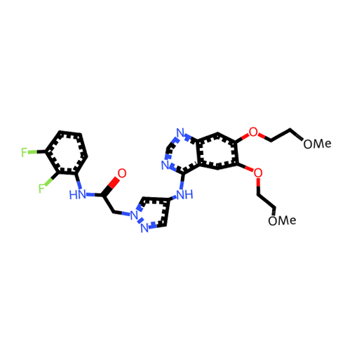 COCCOc1cc2ncnc(Nc3cnn(CC(=O)Nc4cccc(F)c4F)c3)c2cc1OCCOC